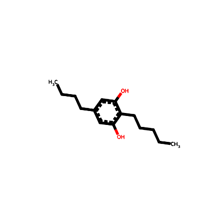 CCCCCc1c(O)cc(CCCC)cc1O